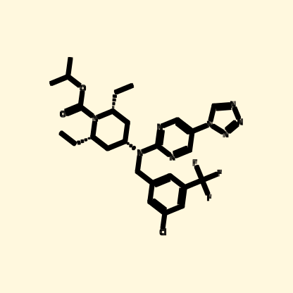 CC[C@@H]1C[C@H](N(Cc2cc(Cl)cc(C(F)(F)F)c2)c2ncc(-n3cnnn3)cn2)C[C@H](CC)N1C(=O)OC(C)C